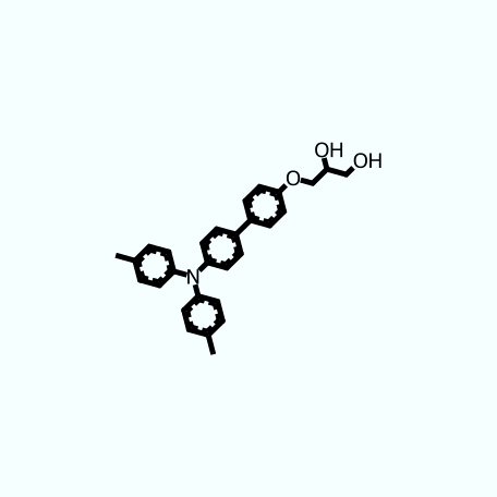 Cc1ccc(N(c2ccc(C)cc2)c2ccc(-c3ccc(OCC(O)CO)cc3)cc2)cc1